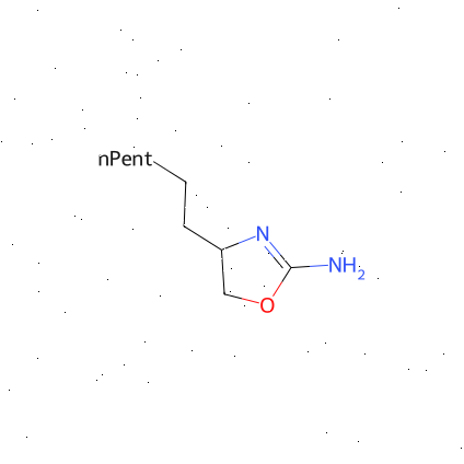 CCCCCCCC1COC(N)=N1